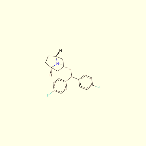 CN1[C@@H]2CC[C@H]1C[C@@H](CC(c1ccc(F)cc1)c1ccc(F)cc1)C2